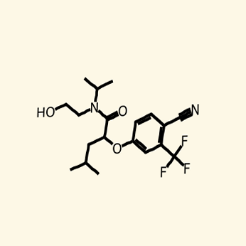 CC(C)CC(Oc1ccc(C#N)c(C(F)(F)F)c1)C(=O)N(CCO)C(C)C